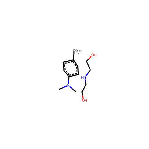 CN(C)c1ccc(C(=O)O)cc1.OCCNCCO